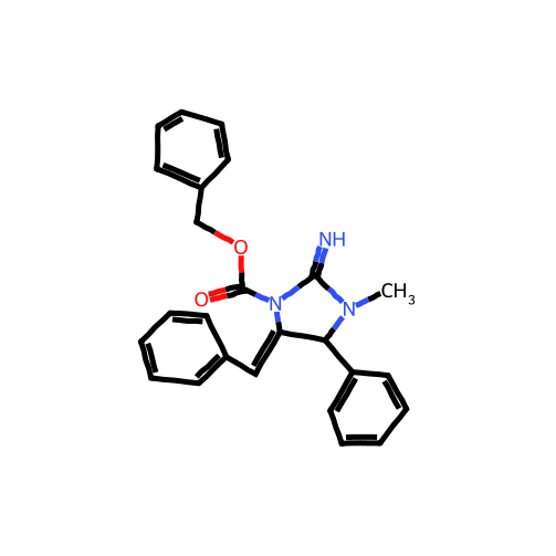 CN1C(=N)N(C(=O)OCc2ccccc2)/C(=C\c2ccccc2)C1c1ccccc1